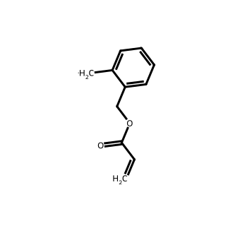 [CH2]c1ccccc1COC(=O)C=C